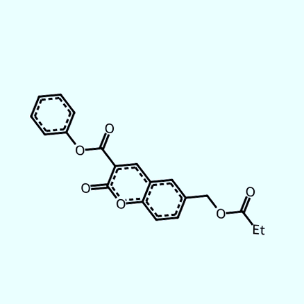 CCC(=O)OCc1ccc2oc(=O)c(C(=O)Oc3ccccc3)cc2c1